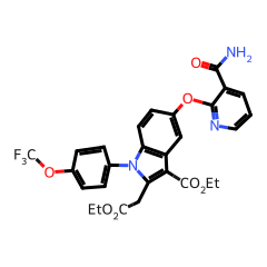 CCOC(=O)Cc1c(C(=O)OCC)c2cc(Oc3ncccc3C(N)=O)ccc2n1-c1ccc(OC(F)(F)F)cc1